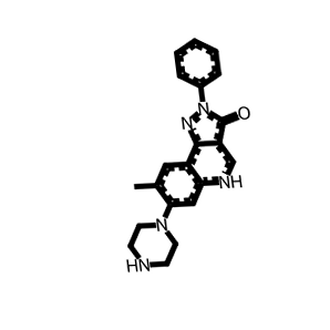 Cc1cc2c3nn(-c4ccccc4)c(=O)c-3c[nH]c2cc1N1CCNCC1